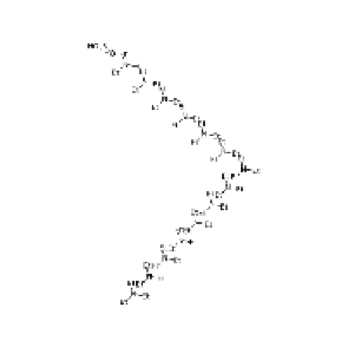 CCN(CC)CC.CCN(CC)CC.CCN(CC)CC.CCN(CC)CC.CCN(CC)CC.CCN(CC)CC.CCN(CC)CC.CCN(CC)CC.CCN(CC)CC.CCN(CC)CC.CCN(CC)CC.CCN(CC)CC.CCN(CC)CC.CCN(CC)CC.O=S(=O)(O)O